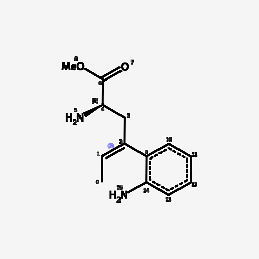 C/C=C(/C[C@@H](N)C(=O)OC)c1ccccc1N